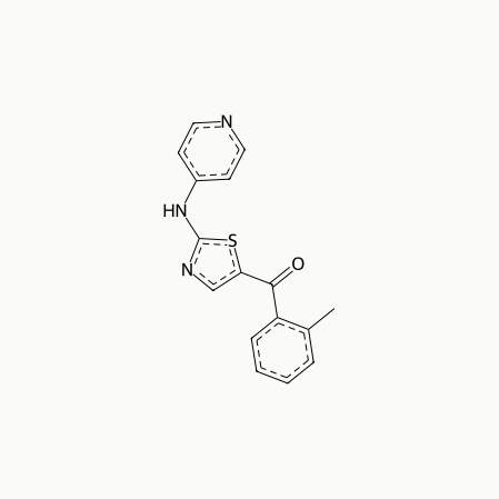 Cc1ccccc1C(=O)c1cnc(Nc2ccncc2)s1